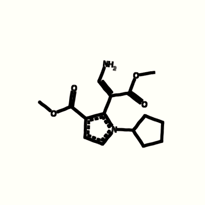 COC(=O)/C(=C\N)c1c(C(=O)OC)ccn1C1CCCC1